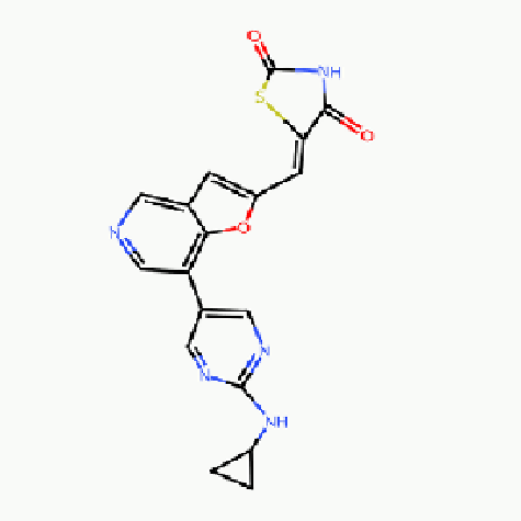 O=C1NC(=O)/C(=C/c2cc3cncc(-c4cnc(NC5CC5)nc4)c3o2)S1